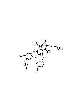 Cn1c2c(c(=O)n(CCCO)c1=O)N(Cc1ccc(Cl)cc1)C(Cc1ccc(Cl)c(OC(F)(F)F)c1)N2